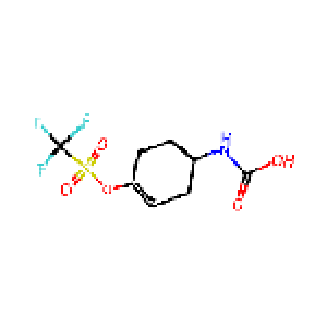 O=C(O)NC1CC=C(OS(=O)(=O)C(F)(F)F)CC1